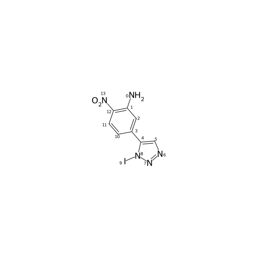 Nc1cc(-c2cnnn2I)ccc1[N+](=O)[O-]